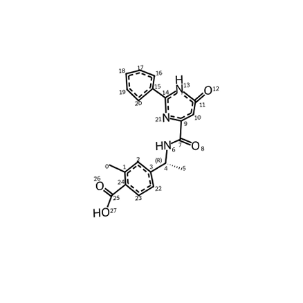 Cc1cc([C@@H](C)NC(=O)c2cc(=O)[nH]c(-c3ccccc3)n2)ccc1C(=O)O